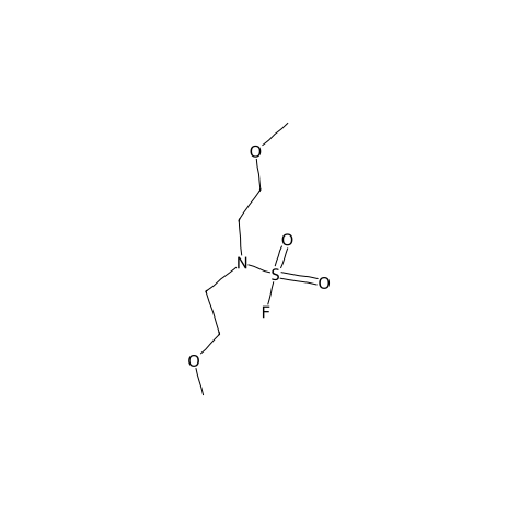 COCCN(CCOC)S(=O)(=O)F